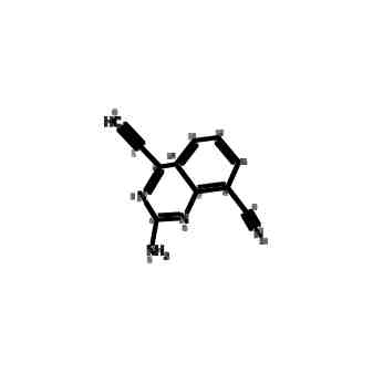 C#Cc1nc(N)nc2c(C#N)cccc12